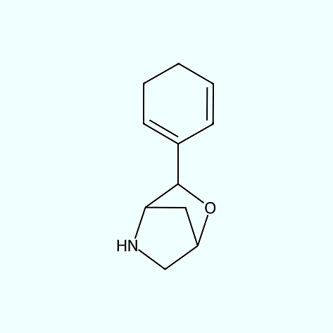 C1=CC(C2OC3CNC2C3)=CCC1